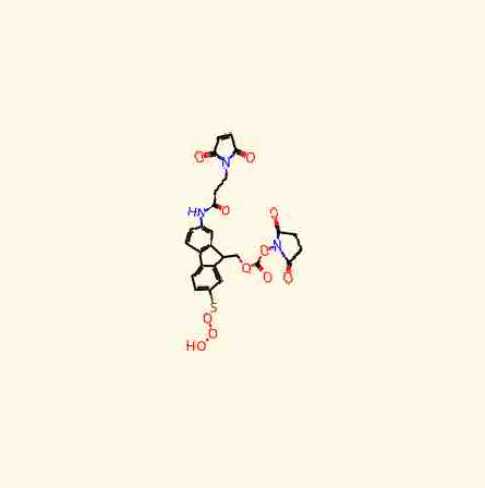 O=C(CCN1C(=O)C=CC1=O)Nc1ccc2c(c1)C(COC(=O)ON1C(=O)CCC1=O)c1cc(SOOO)ccc1-2